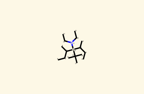 CCC(C)[Si](C(C)CC)(N(CC)CC)C(C)(C)C